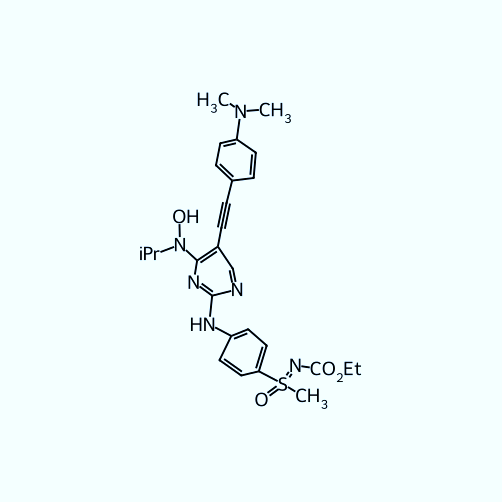 CCOC(=O)N=S(C)(=O)c1ccc(Nc2ncc(C#Cc3ccc(N(C)C)cc3)c(N(O)C(C)C)n2)cc1